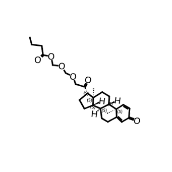 CCCC(=O)OCOCOCC(=O)[C@H]1CC[C@H]2[C@@H]3CCC4=CC(=O)C=C[C@]4(C)[C@H]3CC[C@]12C